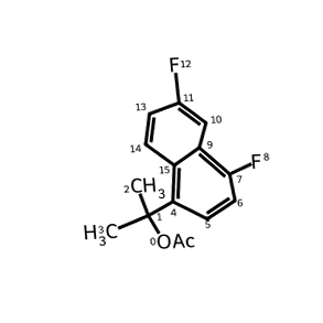 CC(=O)OC(C)(C)c1ccc(F)c2cc(F)ccc12